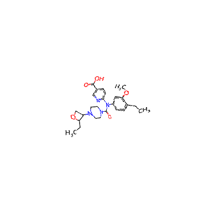 CCc1ccc(N(C(=O)N2CCN(C3COC3CC)CC2)c2ccc(C(=O)O)cn2)cc1OC